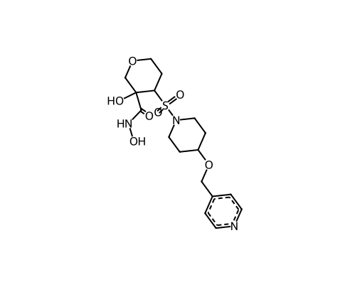 O=C(NO)C1(O)COCCC1S(=O)(=O)N1CCC(OCc2ccncc2)CC1